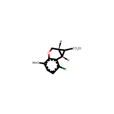 CCOC(=O)C1[C@H]2COc3c(OC)ccc(F)c3[C@@H]12